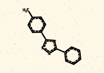 Cc1ccc(-c2[c]c(-c3ccccc3)ns2)cc1